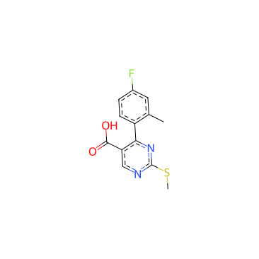 CSc1ncc(C(=O)O)c(-c2ccc(F)cc2C)n1